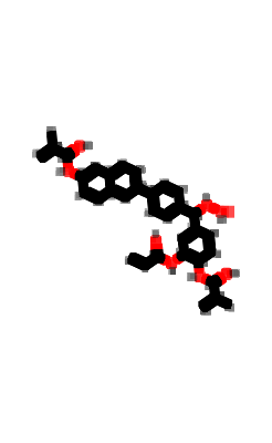 C=CC(=O)Oc1cc(C(OO)c2ccc(-c3ccc4cc(OC(=O)C(=C)C)ccc4c3)cc2)ccc1OC(=O)C(=C)C